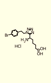 Cl.NC(CCCCB(O)O)c1nnnn1CCc1ccc(Br)cc1